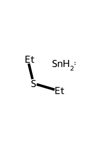 CCSCC.[SnH2]